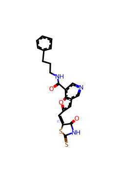 O=C1NC(=S)S/C1=C/c1cc2cncc(C(=O)NCCCc3ccccc3)c2o1